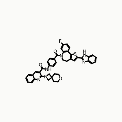 O=C(Nc1ccc(C(=O)N2CCc3cc(-c4nc5ccccc5[nH]4)sc3-c3ccc(F)cc32)cc1)c1cc2ccccc2nc1N1CC2(CCOCC2)C1